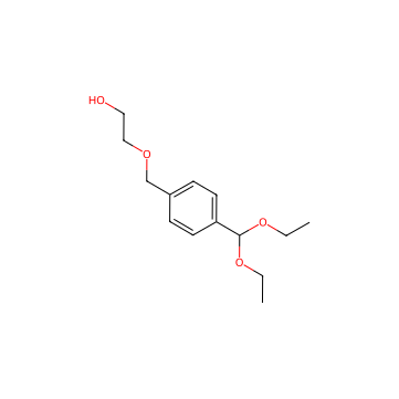 CCOC(OCC)c1ccc(COCCO)cc1